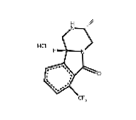 C[C@@H]1CN2C(=O)c3c(cccc3C(F)(F)F)[C@@H]2CN1.Cl